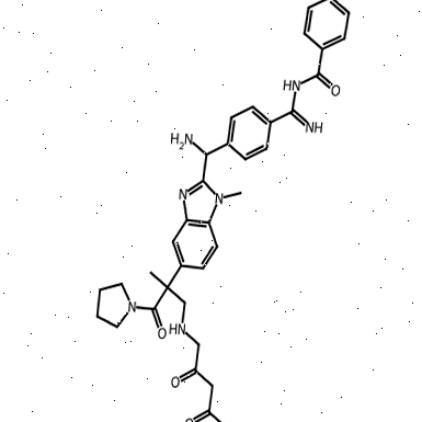 COC(=O)CC(=O)CNCC(C)(C(=O)N1CCCC1)c1ccc2c(c1)nc(C(N)c1ccc(C(=N)NC(=O)c3ccccc3)cc1)n2C